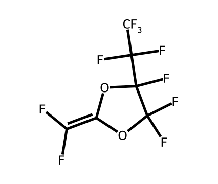 FC(F)=C1OC(F)(F)C(F)(C(F)(F)C(F)(F)F)O1